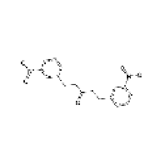 O=C(CCc1cccc([N+](=O)[O-])c1)CCc1cccc([N+](=O)[O-])c1